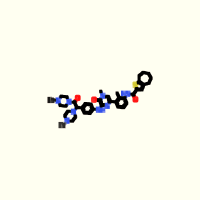 CCN1CCN(C(=O)C(c2ccc(Nc3nc(-c4cccc(NC(=O)c5cc6c(s5)CCCCC6)c4C)cn(C)c3=O)cc2)N2CCN(CC)CC2)CC1